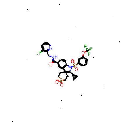 O=C(NCc1ncccc1Cl)c1ccc2c(c1)C1(CCS(=O)(=O)CC1)C(C1CC1)N2S(=O)(=O)c1cccc(OC(F)(F)F)c1